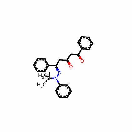 C[SiH](C)N(N=C(CC(=O)CC(=O)c1ccccc1)c1ccccc1)c1ccccc1